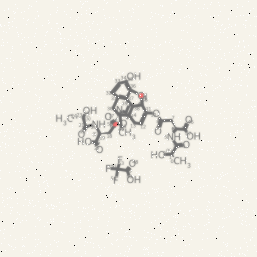 C[C@H](O)C(=O)N[C@@H](CC(=O)OC1=CC[C@@]2(OC(=O)C[C@H](NC(=O)[C@H](C)O)C(=O)O)[C@H]3Cc4ccc(O)c5c4[C@@]2(CCN3C)[C@H]1O5)C(=O)O.O=C(O)C(F)(F)F